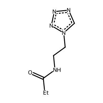 CCC(=O)NCCn1cnnn1